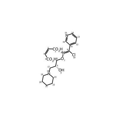 O=C(O)/C=C\C(=O)O.O[C@@H](CON=C(Cl)c1cccnc1)CN1CCCCC1